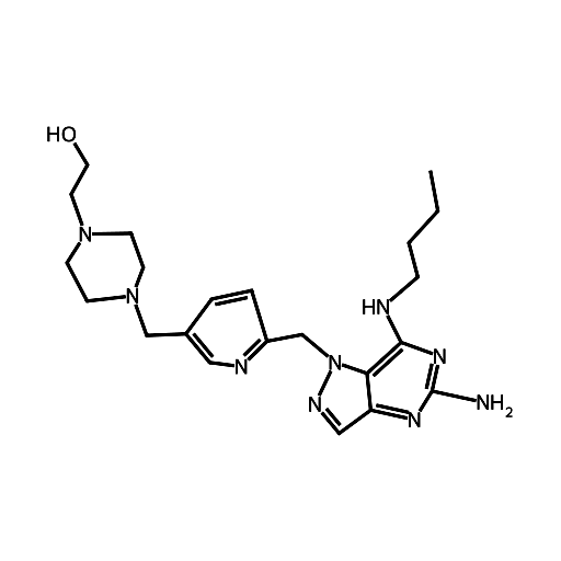 CCCCNc1nc(N)nc2cnn(Cc3ccc(CN4CCN(CCO)CC4)cn3)c12